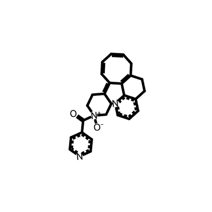 O=C(c1ccncc1)[N+]1([O-])CCC(=C2C=CC=CCC3=C2c2ncccc2CC3)CC1